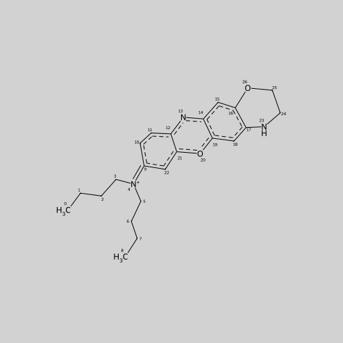 CCCC[N+](CCCC)=c1ccc2nc3cc4c(cc3oc-2c1)NCCO4